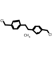 C.ClCc1ccc(CCc2ccc(CCl)cc2)cc1